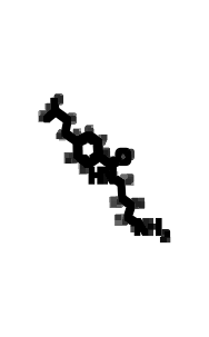 CC(C)CCc1ccc(C(=O)NCCCCN)cc1